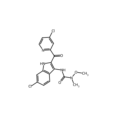 CON(C)C(=O)Nc1c(C(=O)c2cc(Cl)ccn2)[nH]c2cc(Cl)ccc12